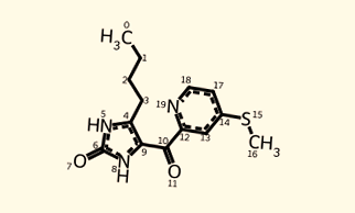 CCCCc1[nH]c(=O)[nH]c1C(=O)c1cc(SC)ccn1